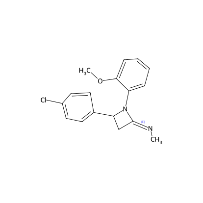 C/N=C1\CC(c2ccc(Cl)cc2)N1c1ccccc1OC